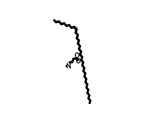 CCCCCCCC/C=C\CCCCCCCCC(CCCCCCCCCCCCCCCCCC)OC(=O)CCCN(C)C